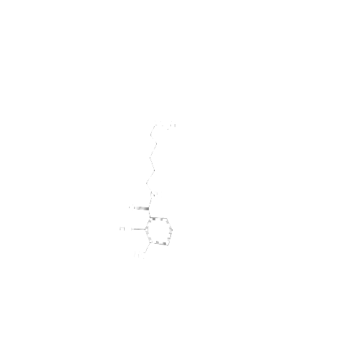 O=C(O)CCCCCNC(=O)c1cccc(O)c1O